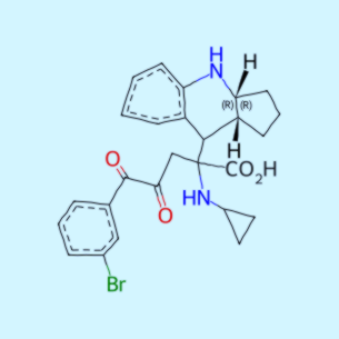 O=C(CC(NC1CC1)(C(=O)O)C1c2ccccc2N[C@@H]2CCC[C@H]12)C(=O)c1cccc(Br)c1